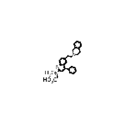 CN(CC(=O)O)c1cc(-c2ccccc2)c2cc(CCN3CCc4ccccc4C3)ccc2n1